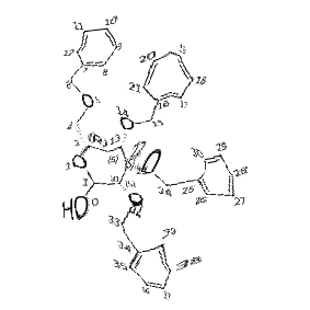 OC1O[C@H](COCc2ccccc2)[C@H](OCc2ccccc2)[C@H](OCc2ccccc2)[C@@H]1OCc1ccccc1